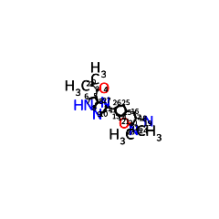 CC(C)C(=O)c1c[nH]c2ncc(-c3ccc(C=C(C#N)C(=O)N(C)C)cc3)nc12